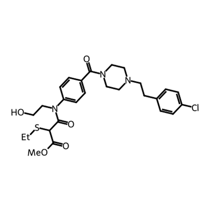 CCSC(C(=O)OC)C(=O)N(CCO)c1ccc(C(=O)N2CCN(CCc3ccc(Cl)cc3)CC2)cc1